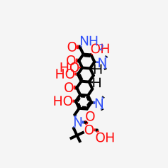 CN(C)c1cc(CN(CC(C)(C)C)C(=O)OCO)c(O)c2c1C[C@H]1C[C@H]3[C@H](N(C)C)C(O)=C(C(N)=O)C(=O)[C@@]3(O)C(O)=C1C2=O